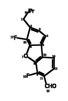 CC(C)Cc1ccc2c(oc3c(F)c(C=O)ccc32)c1F